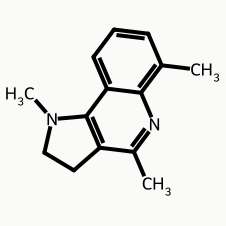 Cc1nc2c(C)cccc2c2c1CCN2C